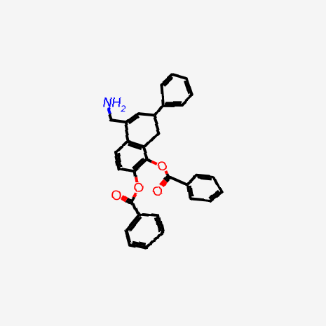 NCC1=CC(c2ccccc2)Cc2c1ccc(OC(=O)c1ccccc1)c2OC(=O)c1ccccc1